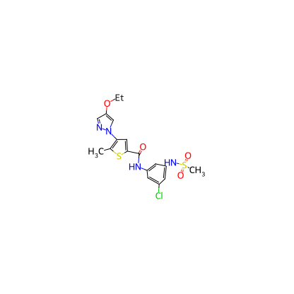 CCOc1cnn(-c2cc(C(=O)Nc3cc(Cl)cc(NS(C)(=O)=O)c3)sc2C)c1